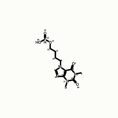 Cn1c(=O)c2c(ncn2CCCCO[PH](=O)O)n(C)c1=O